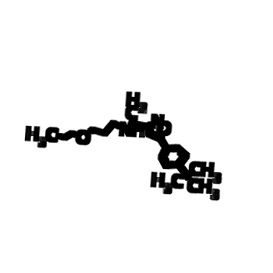 C=C(NCCCOCCC)c1cc(-c2ccc(C(C)(C)C)cc2)on1